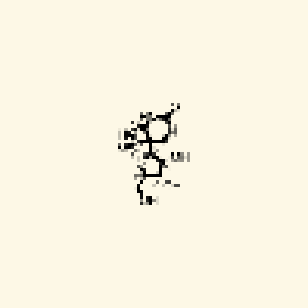 O=C1N=CC([C@@H]2O[C@H](CO)[C@@H](O)[C@H]2O)(P(=O)(O)O)C(=O)N1